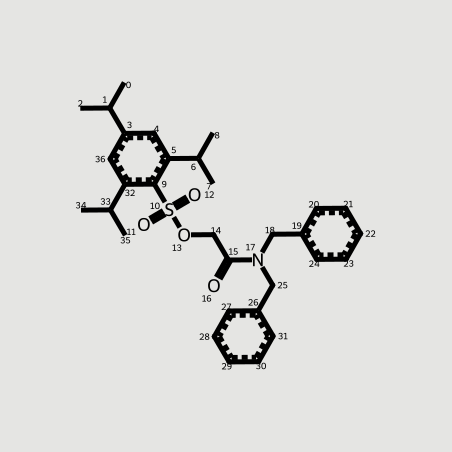 CC(C)c1cc(C(C)C)c(S(=O)(=O)OCC(=O)N(Cc2ccccc2)Cc2ccccc2)c(C(C)C)c1